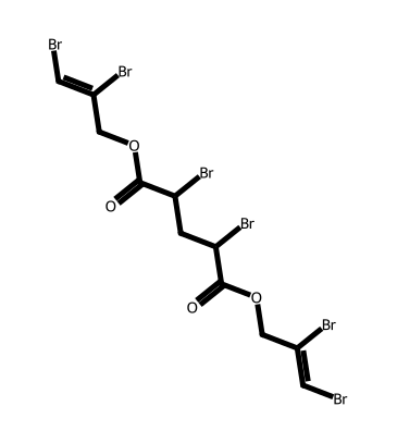 O=C(OCC(Br)=CBr)C(Br)CC(Br)C(=O)OCC(Br)=CBr